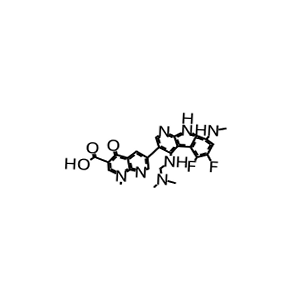 CNc1cc(F)c(F)c2c1[nH]c1ncc(-c3cnc4c(c3)c(=O)c(C(=O)O)cn4C)c(NCN(C)C)c12